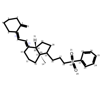 C=C1CCCC/C1=C/C=C1\CCC[C@]2(C)C(CCCS(=O)(=O)c3ccccc3)CC[C@@H]12